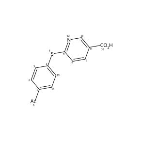 CC(=O)c1ccc(Sc2ccc(C(=O)O)cn2)cc1